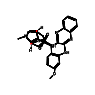 COc1ccc(CC2C[C@H]3CC[C@@H](C2)N3C)c(Nc2nc3ccccc3nc2NS(=O)(=O)c2cn(C)cn2)c1